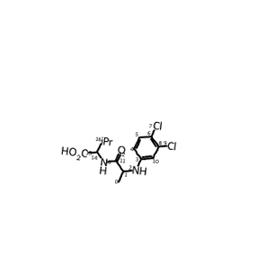 CC(Nc1ccc(Cl)c(Cl)c1)C(=O)NC(C(=O)O)C(C)C